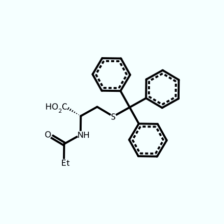 CCC(=O)N[C@@H](CSC(c1ccccc1)(c1ccccc1)c1ccccc1)C(=O)O